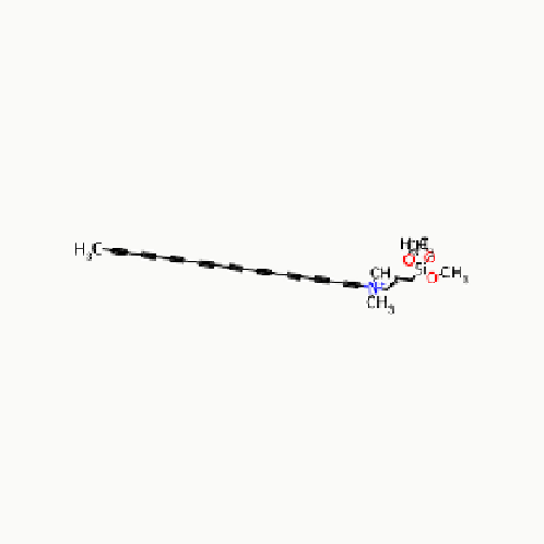 CC#CC#CC#CC#CC#CC#CC#CC#CC#C[N+](C)(C)CCC[Si](OC)(OC)OC